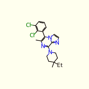 CCC1(C)CCN(c2nc(C)c(-c3cccc(Cl)c3Cl)n3ccnc23)CC1